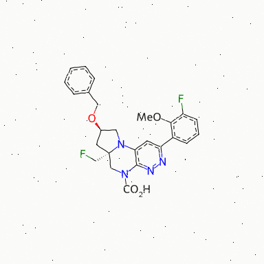 COc1c(F)cccc1-c1cc2c(nn1)N(C(=O)O)C[C@@]1(CF)C[C@@H](OCc3ccccc3)CN21